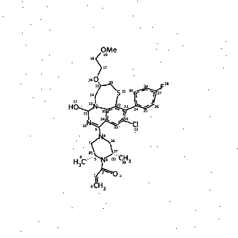 C=CC(=O)N1[C@H](C)CN(C2=NC(O)N3CC(OCCOC)CSc4c(-c5ccc(F)cc5)c(Cl)cc2c43)C[C@@H]1C